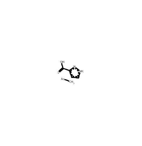 CC(C)=O.OC(=S)c1cc[nH]n1